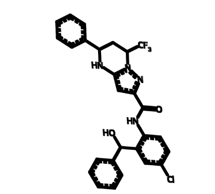 O=C(Nc1ccc(Cl)cc1C(O)c1ccccc1)c1cc2n(n1)C(C(F)(F)F)CC(c1ccccc1)N2